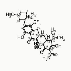 CN1CCN(C)C(c2cc(O)c3c(c2C(F)(F)F)C[C@H]2C[C@H]4[C@H](N(C)C)C(O)=C(C(N)=O)C(=O)[C@@]4(O)C(O)=C2C3=O)C1